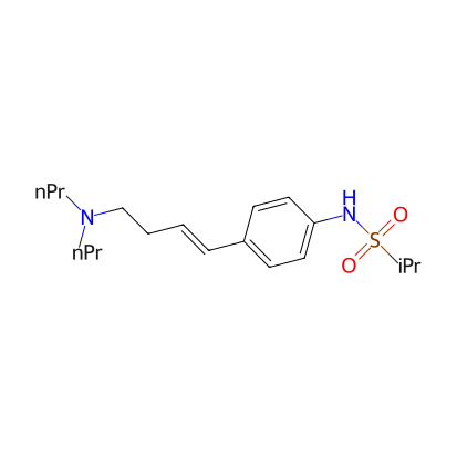 CCCN(CCC)CC/C=C/c1ccc(NS(=O)(=O)C(C)C)cc1